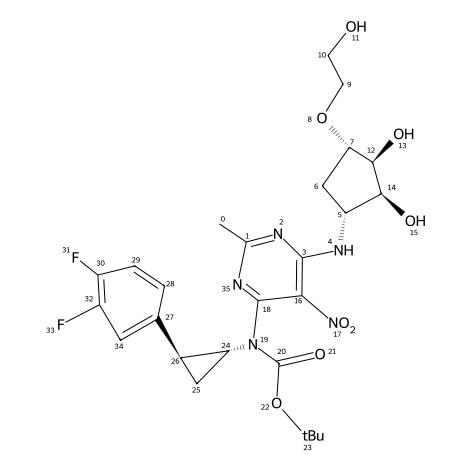 Cc1nc(N[C@@H]2C[C@H](OCCO)[C@@H](O)[C@H]2O)c([N+](=O)[O-])c(N(C(=O)OC(C)(C)C)[C@@H]2C[C@H]2c2ccc(F)c(F)c2)n1